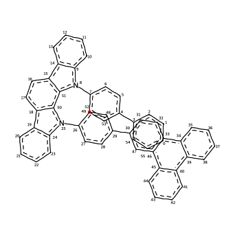 c1ccc(-c2ccc(-n3c4ccccc4c4ccc5c6ccccc6n(-c6ccc(-c7ccc8c9ccccc9c9ccccc9c8c7)cc6)c5c43)cc2)cc1